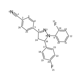 N#Cc1ccc(C2=NN(c3ccccc3F)C(c3ccc(F)cc3)C2)cc1